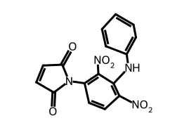 O=C1C=CC(=O)N1c1ccc([N+](=O)[O-])c(Nc2ccccc2)c1[N+](=O)[O-]